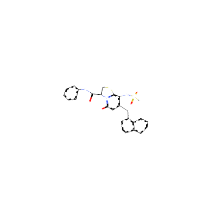 CS(=O)(=O)Nc1c(Cc2cccc3ccccc23)cc(=O)n2c1SCC2C(=O)Nc1ccccc1